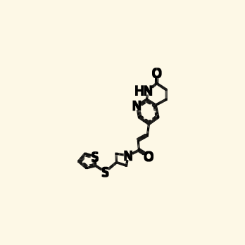 O=C1CCc2cc(C=CC(=O)N3CC(Sc4cccs4)C3)cnc2N1